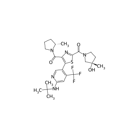 C[C@H]1CCCN1C(=O)c1nc(C(=O)N2CC[C@](C)(O)C2)sc1-c1cnc(NC(C)(C)C)cc1C(F)(F)F